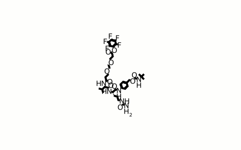 CC(C)[C@H](NC(=O)CCOCCOCCC(=O)Oc1c(F)c(F)c(F)c(F)c1F)C(=O)N[C@@H](CCCNC(N)=O)C(=O)Nc1ccc(COC(=O)NC(C)(C)C)cc1